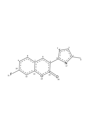 Cc1csc(-c2cc3ccc(F)cc3oc2=O)n1